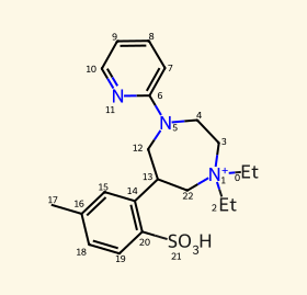 CC[N+]1(CC)CCN(c2ccccn2)CC(c2cc(C)ccc2S(=O)(=O)O)C1